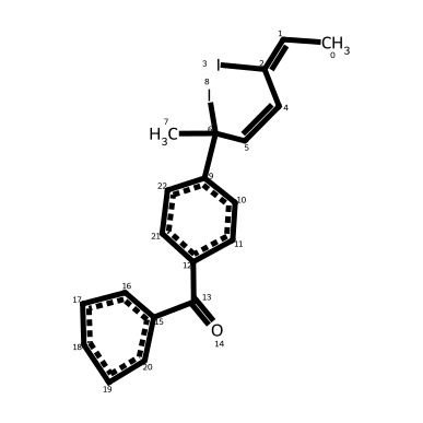 C/C=C(I)\C=C/C(C)(I)c1ccc(C(=O)c2ccccc2)cc1